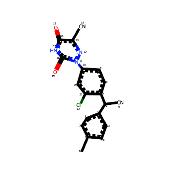 Cc1ccc(C(C#N)c2ccc(-n3nc(C#N)c(=O)[nH]c3=O)cc2Cl)cc1